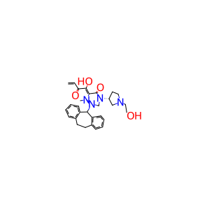 C=CC(=O)/C(O)=C1/C(=O)N([C@@H]2CCN(CCO)C2)CN(C2c3ccccc3CCc3ccccc32)N1C